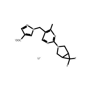 Cc1nc(N2CC3C(C2)C3(F)F)ncc1Cn1cc(C(=O)[O-])cn1.[Li+]